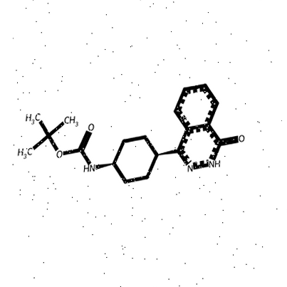 CC(C)(C)OC(=O)N[C@H]1CC[C@@H](c2n[nH]c(=O)c3ccccc32)CC1